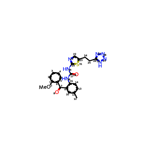 COc1ccccc1C(=O)c1cc(C)ccc1NC(=O)Nc1ncc(CCc2nnn[nH]2)s1